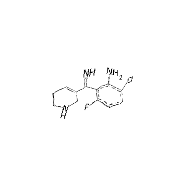 N=C(C1=CCCNC1)c1c(F)ccc(Cl)c1N